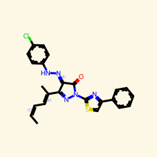 C/C=C\C=C(/C)C1=NN(c2nc(-c3ccccc3)cs2)C(=O)/C1=N/Nc1ccc(Cl)cc1